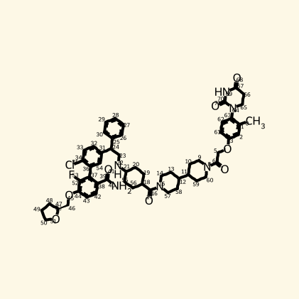 Cc1cc(OCC(=O)N2CCC(C3CCN(C(=O)C4CCC(NCC(c5ccccc5)c5ccc(Cl)c(-c6c(C(N)=O)ccc(OC[C@@H]7CCCO7)c6F)c5)CC4)CC3)CC2)ccc1N1CCC(=O)NC1=O